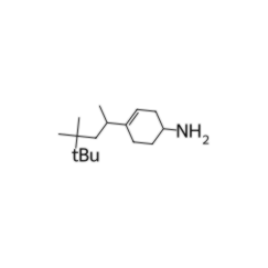 CC(CC(C)(C)C(C)(C)C)C1=CCC(N)CC1